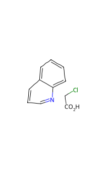 O=C(O)CCl.c1ccc2ncccc2c1